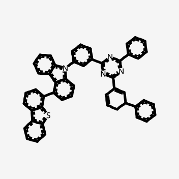 C1=CC(c2nc(-c3ccccc3)nc(-c3cccc(-n4c5ccccc5c5c(-c6cccc7c6sc6ccccc67)cccc54)c3)n2)=CC(c2ccccc2)C1